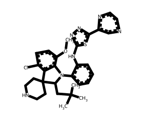 COc1ccc(Cl)c2c1N(c1ccccc1Nc1nnc(-c3cnccn3)s1)C(CC(C)(C)C)C21CCNCC1